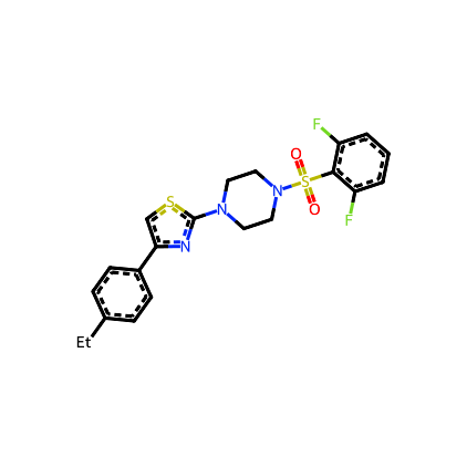 CCc1ccc(-c2csc(N3CCN(S(=O)(=O)c4c(F)cccc4F)CC3)n2)cc1